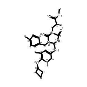 COC(=O)[C@@H](C)CN1C(=O)NC(NC2=CC(C)=C(OC3CCC3)NC2)N(Cc2ccc(C)cc2)C1=O